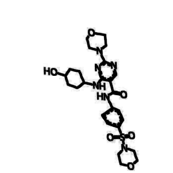 O=C(Nc1ccc(S(=O)(=O)N2CCOCC2)cc1)c1cnc(N2CCOCC2)nc1NC1CCC(O)CC1